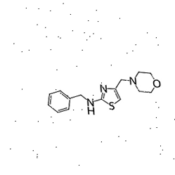 c1ccc(CNc2nc(CN3CCOCC3)cs2)cc1